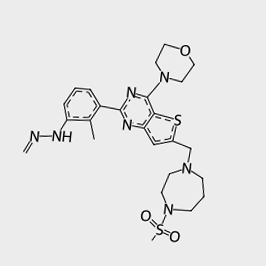 C=NNc1cccc(-c2nc(N3CCOCC3)c3sc(CN4CCCN(S(C)(=O)=O)CC4)cc3n2)c1C